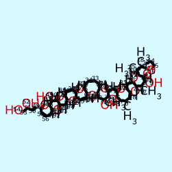 C[C@@H]1C[C@@H]2O[C@@H]3[C@@H](C)[C@H](O)[C@@H]4O[C@]5(CCCO5)[C@@H](C)[C@H](C)[C@H]4O[C@H]3C[C@H]2O[C@H]2C[C@H]3O[C@H]4C/C=C\C[C@H]5O[C@H]6C=C[C@H]7O[C@H]8[C@@H](O)[C@H]9O[C@@H](/C=C/[C@H](O)CO)C=CC[C@@H]9O[C@@H]8C[C@@H]7O[C@@H]6C=C[C@@H]5O[C@@H]4C[C@@H](O)[C@]3(C)O[C@@H]2C1